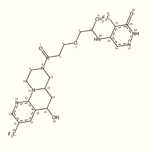 CC(COCCC(=O)N1CCN2c3ncc(C(F)(F)F)cc3C(O)CC2C1)Nc1cn[nH]c(=O)c1C(F)(F)F